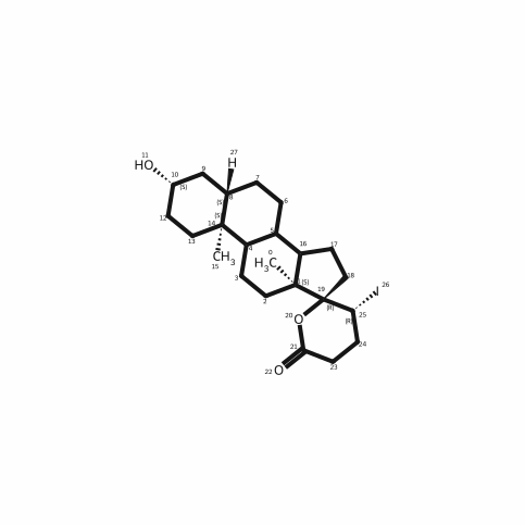 C[C@]12CCC3C(CC[C@H]4C[C@@H](O)CC[C@]34C)C1CC[C@@]21OC(=O)CC[C@H]1I